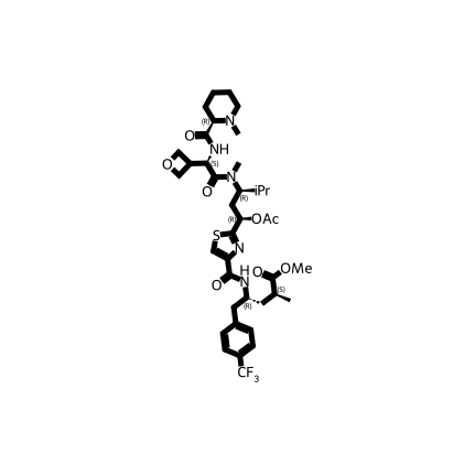 COC(=O)[C@@H](C)C[C@H](Cc1ccc(C(F)(F)F)cc1)NC(=O)c1csc([C@@H](C[C@H](C(C)C)N(C)C(=O)[C@@H](NC(=O)[C@H]2CCCCN2C)C2COC2)OC(C)=O)n1